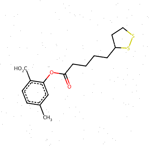 Cc1ccc(C(=O)O)c(OC(=O)CCCCC2CCSS2)c1